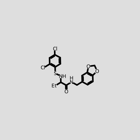 CCC(NSc1ccc(Cl)cc1Cl)C(=O)NCc1ccc2c(c1)OCO2